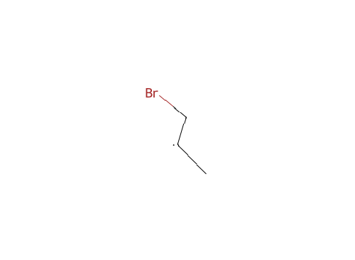 C[CH]CBr